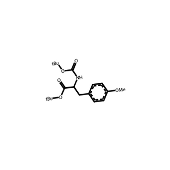 COc1ccc(CC(NC(=O)OC(C)(C)C)C(=O)OC(C)(C)C)cc1